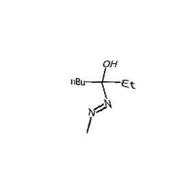 CCCCC(O)(CC)/N=N/C